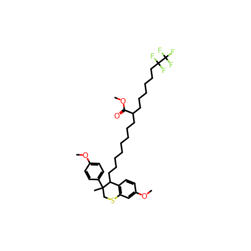 COC(=O)C(CCCCCCCCC1c2ccc(OC)cc2SCC1(C)c1ccc(OC)cc1)CCCCCCC(F)(F)C(F)(F)F